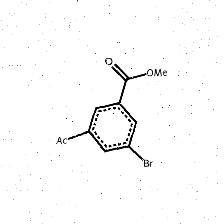 COC(=O)c1cc(Br)cc(C(C)=O)c1